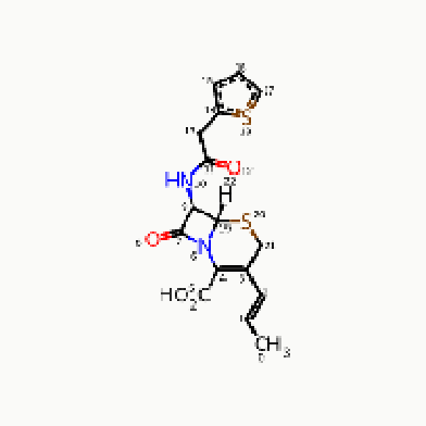 CC=CC1=C(C(=O)O)N2C(=O)[C@@H](NC(=O)Cc3cccs3)[C@@H]2SC1